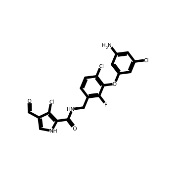 Nc1cc(Cl)cc(Oc2c(Cl)ccc(CNC(=O)c3[nH]cc(C=O)c3Cl)c2F)c1